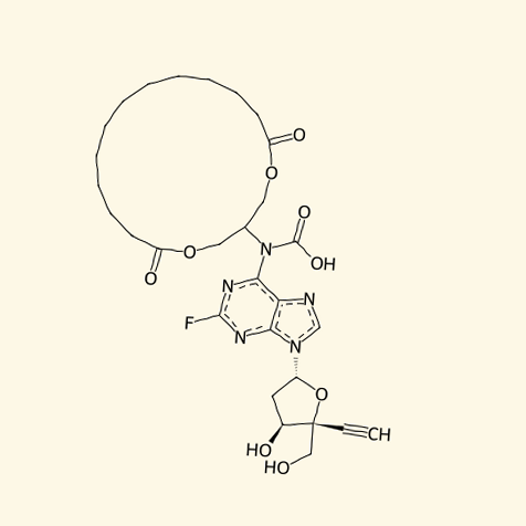 C#C[C@]1(CO)O[C@@H](n2cnc3c(N(C(=O)O)C4COC(=O)CCCCCCCCCCCC(=O)OC4)nc(F)nc32)C[C@@H]1O